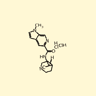 Cl.Cl.Cn1ccc2cc(C(=O)N[C@H]3CN4CCC3CC4)ncc21